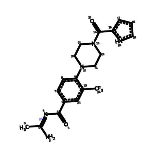 C/C(N)=N/C(=O)c1ccc(N2CCN(C(=O)c3ccc[nH]3)CC2)c(C(F)(F)F)c1